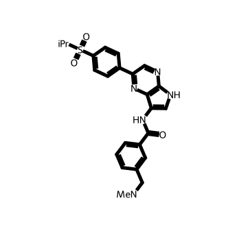 CNCc1cccc(C(=O)Nc2c[nH]c3ncc(-c4ccc(S(=O)(=O)C(C)C)cc4)nc23)c1